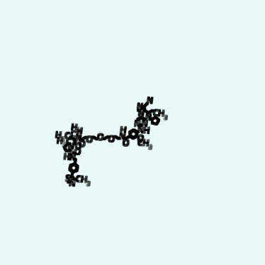 CCC1c2c(C#N)ncn2-c2cnc(Nc3ccc(C(=O)NCCOCCOCCOCC(=O)N[C@H](C(=O)N4CCC[C@H]4C(=O)NCc4ccc(-c5scnc5C)cc4)C(C)(C)C)cc3OC)nc2N1C1CCCC1